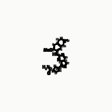 COc1cc2c(cc1Nc1ncc3cnn([C@H]4CC[C@H](C(N)=O)C4)c3n1)CN(C)CC2